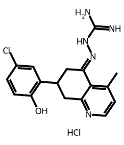 Cc1ccnc2c1C(=NNC(=N)N)CC(c1cc(Cl)ccc1O)C2.Cl